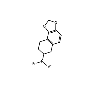 CCCN(CCC)C1CCc2c(ccc3c2OCO3)C1